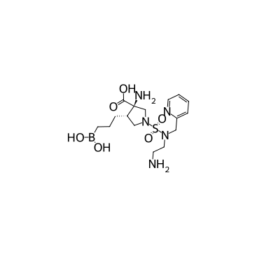 NCCN(Cc1ccccn1)S(=O)(=O)N1C[C@H](CCCB(O)O)[C@](N)(C(=O)O)C1